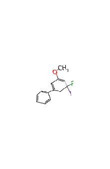 COC1=CC(F)(I)CC(c2ccccc2)=C1